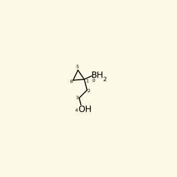 BC1(CCO)CC1